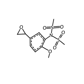 COc1ccc(C2CO2)cc1N(S(C)(=O)=O)S(C)(=O)=O